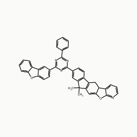 CC1(C)C2=C(CC3C(=C2)Oc2ncccc23)c2ccc(-c3nc(-c4ccccc4)nc(-c4ccc5oc6ccccc6c5c4)n3)cc21